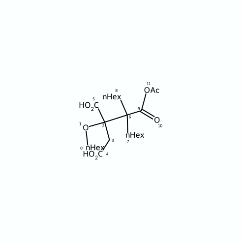 CCCCCCOC(CC(=O)O)(C(=O)O)C(CCCCCC)(CCCCCC)C(=O)OC(C)=O